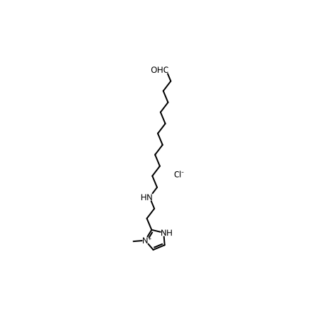 C[n+]1cc[nH]c1CCNCCCCCCCCCCCC=O.[Cl-]